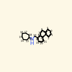 c1ccc2c(c1)ccc1c(CNC3CCCCCC3)cccc12